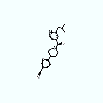 [CH2]C(C)Cc1cc(C(=O)N2CCC(c3ccc(C#N)cc3)CC2)ccn1